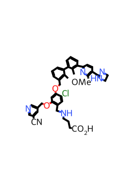 COc1nc(-c2cccc(-c3cccc(COc4cc(OCc5cncc(C#N)c5)c(CNCCCC(=O)O)cc4Cl)c3C)c2C)ccc1C1=NCCN1